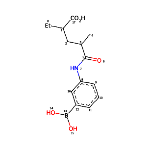 CCC(CC(C)C(=O)Nc1cccc(B(O)O)c1)C(=O)O